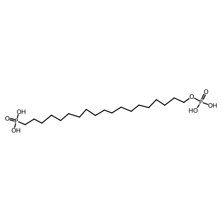 O=P(O)(O)CCCCCCCCCCCCCCCCCCCOP(=O)(O)O